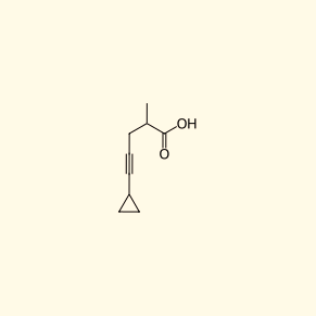 CC(CC#CC1CC1)C(=O)O